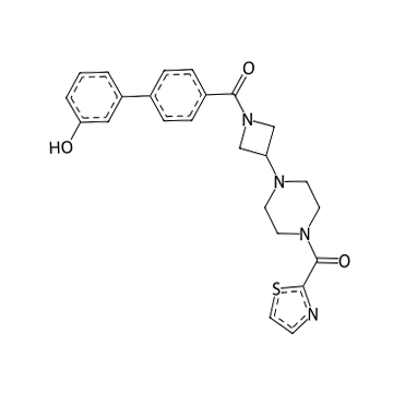 O=C(c1ccc(-c2cccc(O)c2)cc1)N1CC(N2CCN(C(=O)c3nccs3)CC2)C1